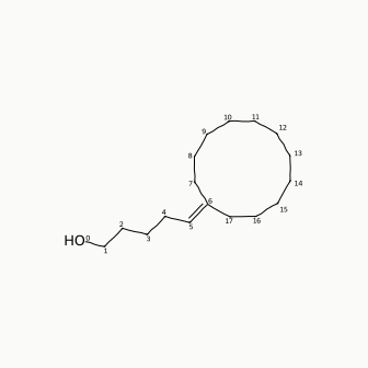 OCCCCC=C1CCCCCCCCCCC1